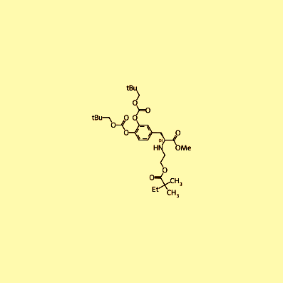 CCC(C)(C)C(=O)OCCN[C@@H](Cc1ccc(OC(=O)OCC(C)(C)C)c(OC(=O)OCC(C)(C)C)c1)C(=O)OC